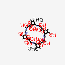 C/C1=C\C=C\C2(C)C=C(CO)C(C)CC23OC(O)C(C3=O)C(O)/C=C/C2(C)C=C(C=O)C(C)CC23OC(O)C(C3=O)C(O)/C(C)=C/C=C/C2C=C(CO)C(C)CC23OC(O)C(C3=O)C(O)/C=C/C2(C)C=C(C=O)C(C)CC23OC(O)C(C3=O)C1O